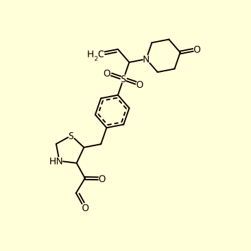 C=CC(N1CCC(=O)CC1)S(=O)(=O)c1ccc(CC2SCNC2C(=O)C=O)cc1